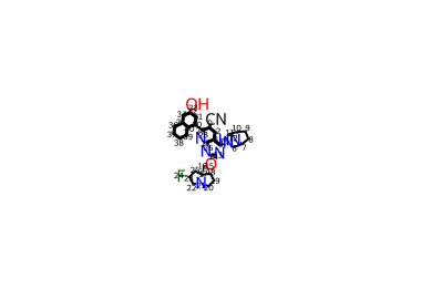 N#Cc1cc2c(N3CC4CCC(C3)N4)nc(OC[C@@]34CCCN3C[C@H](F)C4)nc2nc1-c1cc(O)cc2ccccc12